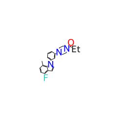 CCC(=O)N1CCN(c2cccc(-n3ccc4c(F)ccc(C)c43)c2)CC1